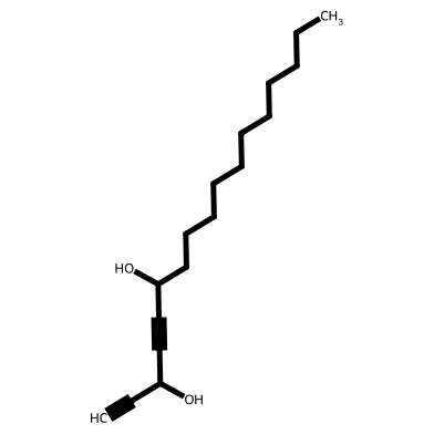 C#CC(O)C#CC(O)CCCCCCCCCCC